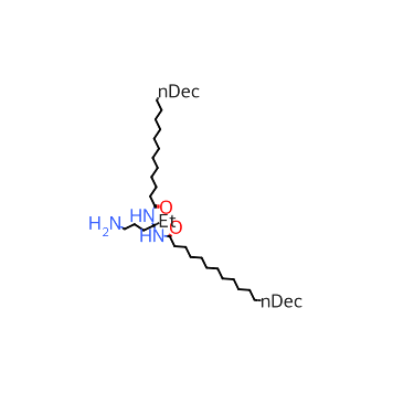 CCCCCCCCCCCCCCCCCCCCCC(=O)NC(CC)(CCCN)NC(=O)CCCCCCCCCCCCCCCCCCCCC